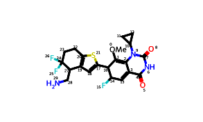 COC1=c2c(c(=O)[nH]c(=O)n2C2CC2)=CC(F)C1c1cc2c(s1)CCC(F)(F)C2CN